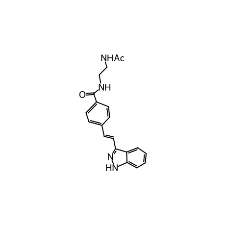 CC(=O)NCCNC(=O)c1ccc(C=Cc2n[nH]c3ccccc23)cc1